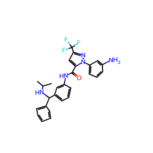 CC(C)NC(c1ccccc1)c1cccc(NC(=O)c2cc(C(F)(F)F)nn2-c2cccc(N)c2)c1